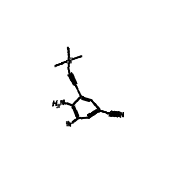 C[Si](C)(C)C#Cc1cc(C#N)cc(Br)c1N